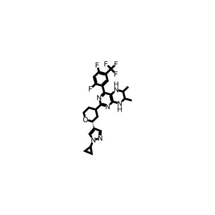 CC1Nc2nc(C3CCO[C@@H](c4cnn(C5CC5)c4)C3)nc(-c3cc(C(F)(F)F)c(F)cc3F)c2NC1C